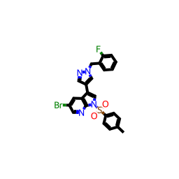 Cc1ccc(S(=O)(=O)n2cc(-c3cnn(Cc4ccccc4F)c3)c3cc(Br)cnc32)cc1